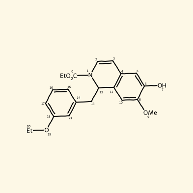 CCOC(=O)N1C=Cc2cc(O)c(OC)cc2C1Cc1cccc(OCC)c1